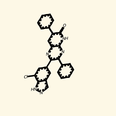 O=c1[nH]c2nc(-c3ccccc3)c(-c3cc(Cl)c4[nH]ncc4c3)nc2cc1-c1ccccc1